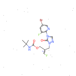 CC(C)(C)NC(=O)OC/C(=C/F)Cn1ncn(-c2ncc(Br)cc2F)c1=O